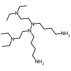 CCN(CC)CCN(CCCCN)N(CCCCN)CCN(CC)CC